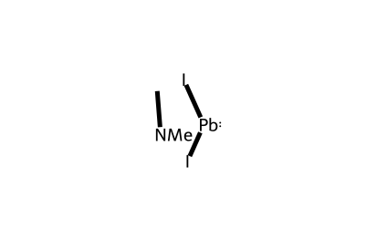 CNC.[I][Pb][I]